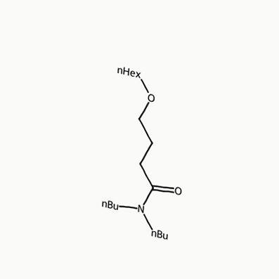 CCCCCCOCCCC(=O)N(CCCC)CCCC